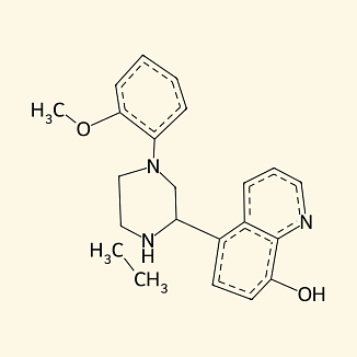 CC.COc1ccccc1N1CCNC(c2ccc(O)c3ncccc23)C1